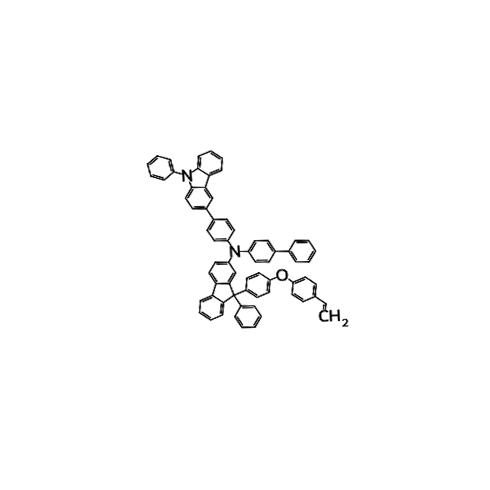 C=Cc1ccc(Oc2ccc(C3(c4ccccc4)c4ccccc4-c4ccc(N(c5ccc(-c6ccccc6)cc5)c5ccc(-c6ccc7c(c6)c6ccccc6n7-c6ccccc6)cc5)cc43)cc2)cc1